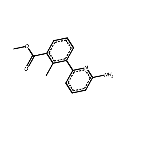 COC(=O)c1cccc(-c2cccc(N)n2)c1C